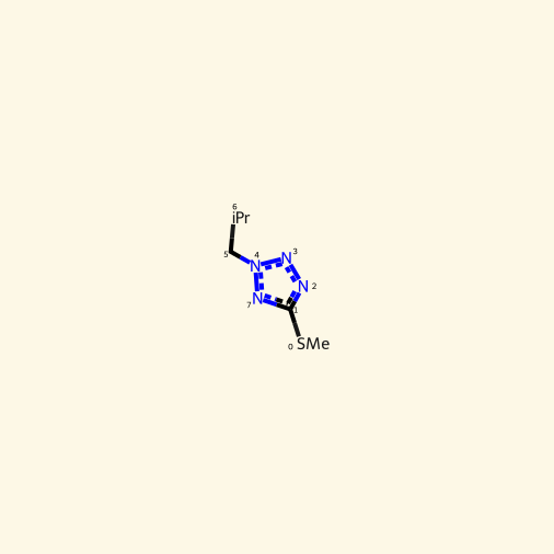 CSc1nnn(CC(C)C)n1